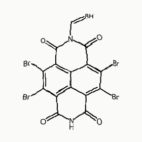 B=CN1C(=O)c2c(Br)c(Br)c3c4c(c(Br)c(Br)c(c24)C1=O)C(=O)NC3=O